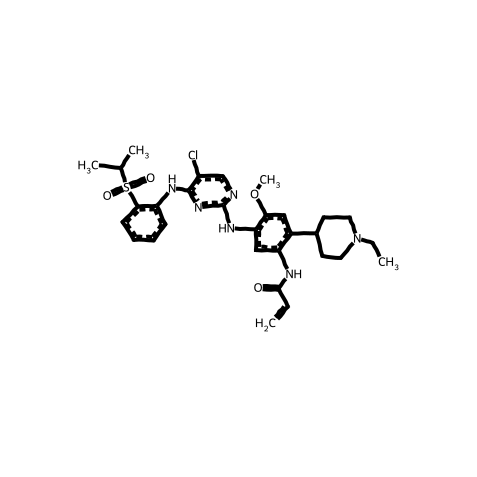 C=CC(=O)Nc1cc(Nc2ncc(Cl)c(Nc3ccccc3S(=O)(=O)C(C)C)n2)c(OC)cc1C1CCN(CC)CC1